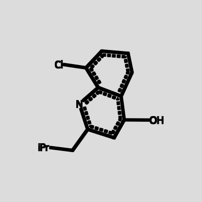 CC(C)Cc1cc(O)c2cccc(Cl)c2n1